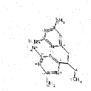 CCC(Cc1nc(N)nc(N)n1)c1nc(N)nc(N)n1